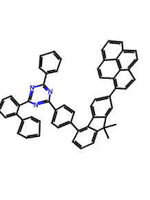 CC1(C)c2cc(-c3ccc4ccc5cccc6ccc3c4c56)ccc2-c2c(-c3ccc(-c4nc(-c5ccccc5)nc(-c5ccccc5-c5ccccc5)n4)cc3)cccc21